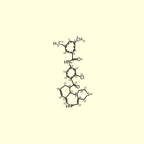 Cc1cc(C)cc(C(=O)Nc2ccc(C(=O)C3CC=CC4=CNC=C5CSCCN5C43)c(Cl)c2)c1